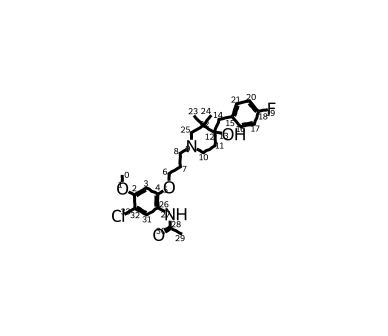 COc1cc(OCCCN2CCC(O)(Cc3ccc(F)cc3)C(C)(C)C2)c(NC(C)=O)cc1Cl